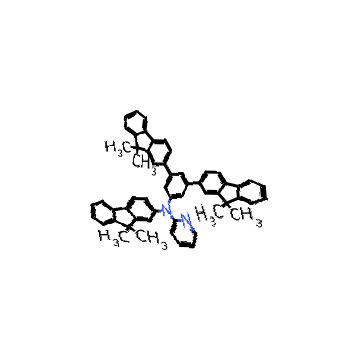 CC1(C)c2ccccc2-c2ccc(-c3cc(-c4ccc5c(c4)C(C)(C)c4ccccc4-5)cc(N(c4ccc5c(c4)C(C)(C)c4ccccc4-5)c4ccccn4)c3)cc21